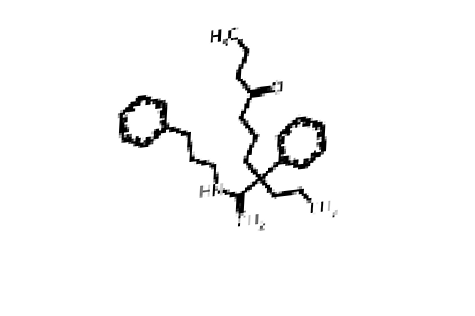 C=C(NCCCc1ccccc1)C(CCC)(CCCC(=O)CCC)c1ccccc1